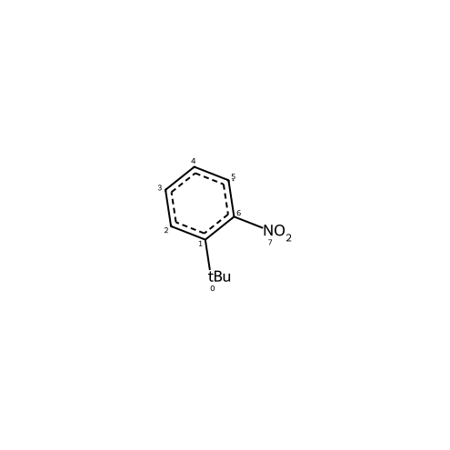 CC(C)(C)c1ccc[c]c1[N+](=O)[O-]